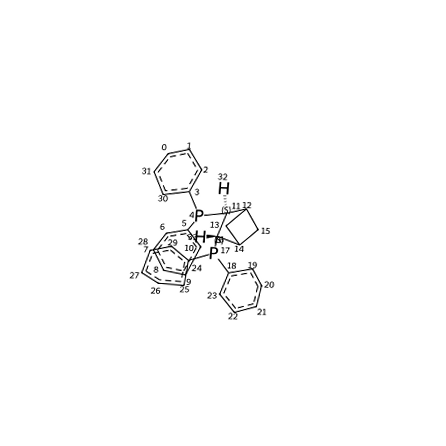 c1ccc(P(c2ccccc2)[C@H]2C3CC(C3)[C@@H]2P(c2ccccc2)c2ccccc2)cc1